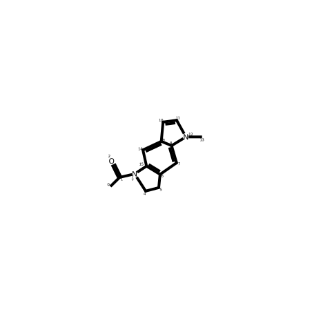 CC(=O)N1CCc2cc3c(ccn3C)cc21